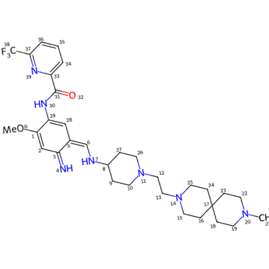 COC1=CC(=N)/C(=C\NC2CCN(CCN3CCC4(CCN(C)CC4)CC3)CC2)C=C1NC(=O)c1cccc(C(F)(F)F)n1